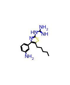 CCCCCc1sc(NC(=N)N)nc1-c1cccc(N)c1